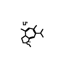 CC1=CC(C)=C(C(C)C)C=C2[C-](C)CCC12.[Li+]